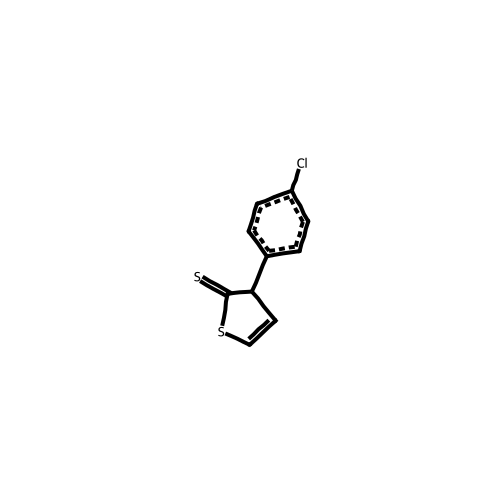 S=C1SC=CC1c1ccc(Cl)cc1